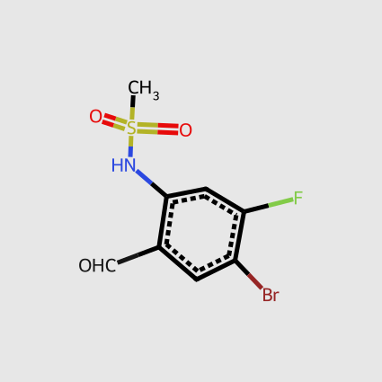 CS(=O)(=O)Nc1cc(F)c(Br)cc1C=O